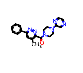 Cc1cc(-c2ccccc2)nnc1C(=O)N1CCN(c2cnccn2)CC1